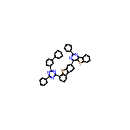 c1ccc(-c2cccc(-c3nc(-c4ccccc4)nc(-c4cccc5c4sc4cc(-c6nc(-c7ccccc7)nc7c6sc6ccccc67)ccc45)n3)c2)cc1